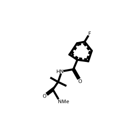 CNC(=O)C(C)(C)NC(=O)c1ccc(F)cc1